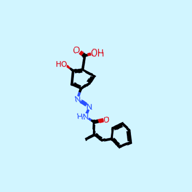 CC(=Cc1ccccc1)C(=O)NN=Nc1ccc(C(=O)O)c(O)c1